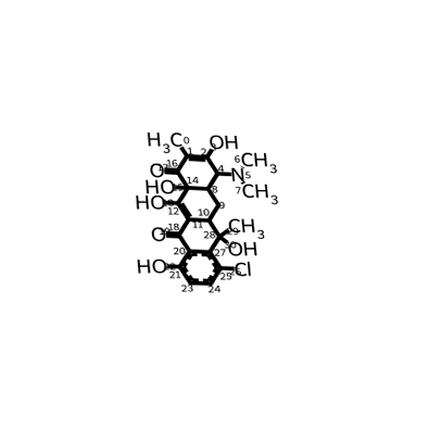 CC1=C(O)C(N(C)C)C2CC3C(=C(O)C2(O)C1=O)C(=O)c1c(O)ccc(Cl)c1C3(C)O